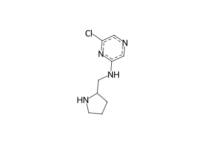 Clc1cncc(NCC2CCCN2)n1